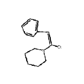 CCC(=Cc1ccccc1)N1CCCCC1